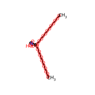 COCCOCCOCCOCCOCCOCCOCCOCCOCCOCCOCCOc1ccc(CC(C(=O)O)N2C(=O)C=CC2=O)cc1OCCOCCOCCOCCOCCOCCOCCOCCOCCOCCOCCOC